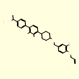 C=CCOc1ccc(COC2CCC(c3ccc(-c4ccc(C(C)O)cc4)c(F)c3F)CC2)cc1F